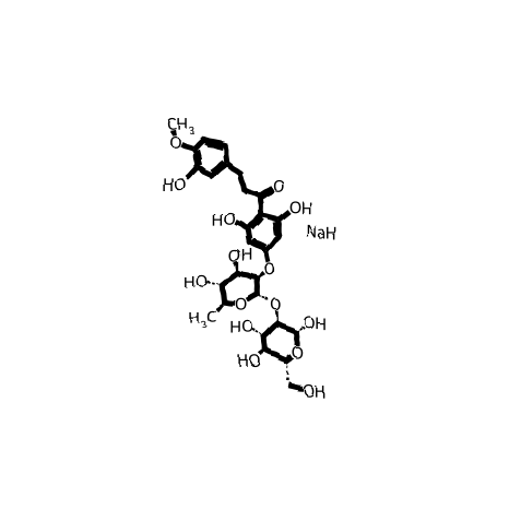 COc1ccc(CCC(=O)c2c(O)cc(O[C@H]3[C@H](O[C@@H]4[C@@H](O)[C@H](O)[C@@H](CO)O[C@H]4O)O[C@@H](C)[C@H](O)[C@H]3O)cc2O)cc1O.[NaH]